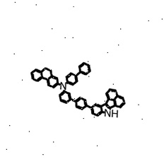 c1ccc(-c2ccc(N(c3cccc(-c4ccc(-c5ccc6[nH]c7c(c6c5)-c5cccc6cccc-7c56)cc4)c3)c3ccc4c(c3)CCc3ccccc3-4)cc2)cc1